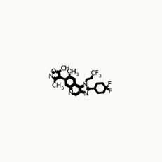 Cc1cc2c(cc1-c1c(C)noc1C)ncc1nc(C3CCC(F)(F)CC3)n(CCC(F)(F)F)c12